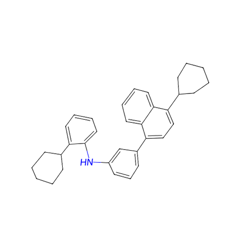 c1cc(Nc2ccccc2C2CCCCC2)cc(-c2ccc(C3CCCCC3)c3ccccc23)c1